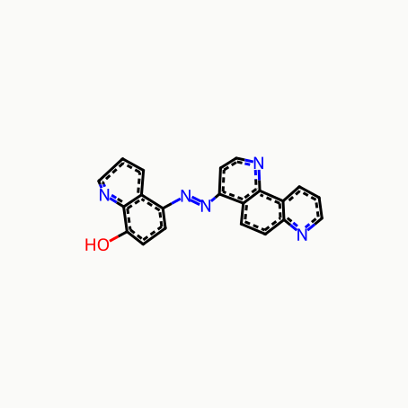 Oc1ccc(N=Nc2ccnc3c2ccc2ncccc23)c2cccnc12